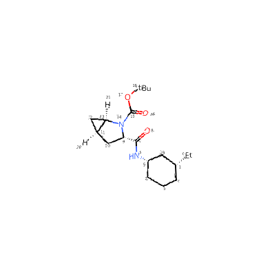 CC[C@@H]1CCC[C@H](NC(=O)[C@@H]2C[C@H]3C[C@H]3N2C(=O)OC(C)(C)C)C1